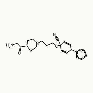 N#CC1(OCCCN2CCN(C(=O)CN)CC2)C=CC(c2ccccc2)C=C1